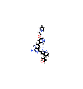 c1cc(-c2ccoc2)c2cc(-c3n[nH]c4ncc(-c5cncc(OCCN6CCCC6)c5)cc34)[nH]c2n1